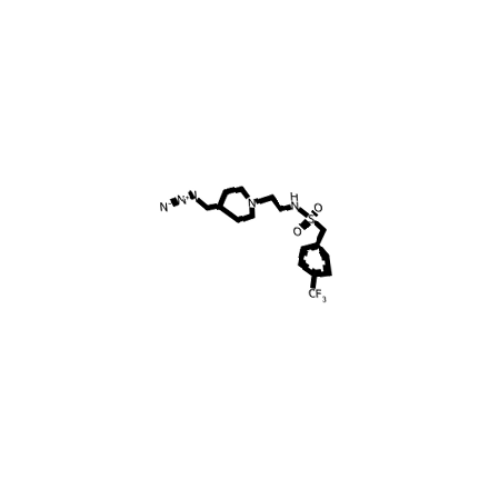 [N-]=[N+]=NCC1CCN(CCNS(=O)(=O)Cc2ccc(C(F)(F)F)cc2)CC1